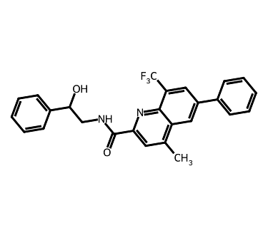 Cc1cc(C(=O)NCC(O)c2ccccc2)nc2c(C(F)(F)F)cc(-c3ccccc3)cc12